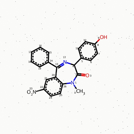 CN1C(=O)C(c2ccc(O)cc2)N=C(c2ccccc2)c2cc([N+](=O)[O-])ccc21